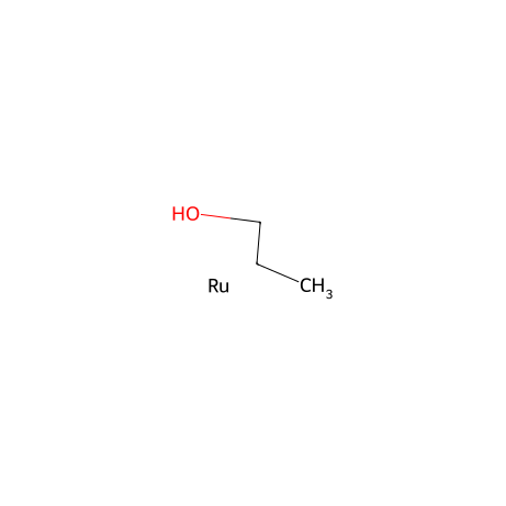 CCCO.[Ru]